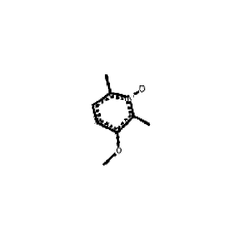 COc1[c]cc(C)[n+]([O-])c1C